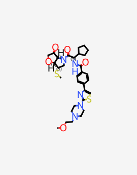 COCCN1CCN(c2nc(-c3ccc(C(=O)N[C@H](C(=O)N4C[C@H](SC)[C@H]5OCC(=O)[C@H]54)C4CCCC4)cc3)cs2)CC1